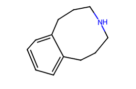 c1ccc2c(c1)CCCNCCC2